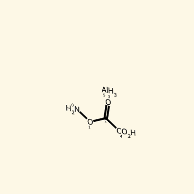 NOC(=O)C(=O)O.[AlH3]